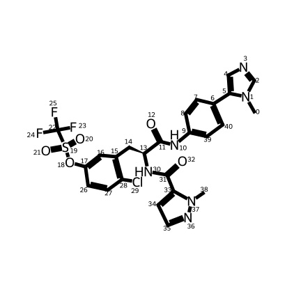 Cn1cncc1-c1ccc(NC(=O)[C@H](Cc2cc(OS(=O)(=O)C(F)(F)F)ccc2Cl)NC(=O)c2ccnn2C)cc1